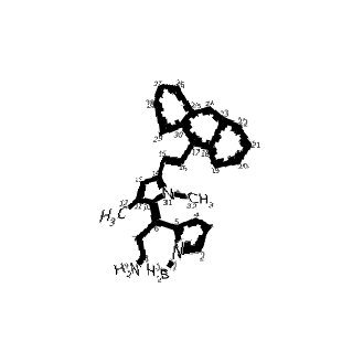 Bn1cccc1/C(CCN)=C1/C(C)=CC(/C=C/c2c3ccccc3cc3ccccc23)=[N+]1C